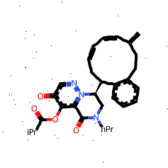 C=C1/C=C\C=C/CC([C@H]2CN(CCC)C(=O)c3c(OC(=O)C(C)C)c(=O)cnn32)c2ccccc2CC1